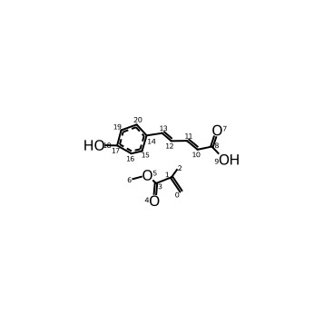 C=C(C)C(=O)OC.O=C(O)C=CC=Cc1ccc(O)cc1